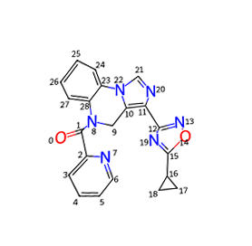 O=C(c1ccccn1)N1Cc2c(-c3noc(C4CC4)n3)ncn2-c2ccccc21